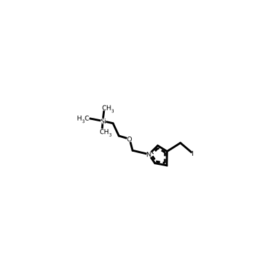 C[Si](C)(C)CCOCn1ccc(CI)c1